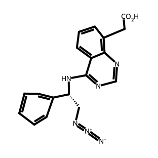 [N-]=[N+]=NC[C@@H](Nc1ncnc2c(CC(=O)O)cccc12)c1ccccc1